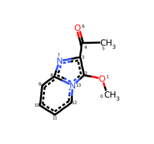 COc1c(C(C)=O)nc2ccccn12